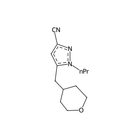 CCCn1nc(C#N)cc1CC1CCOCC1